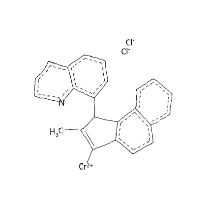 CC1=[C]([Cr+2])c2ccc3ccccc3c2C1c1cccc2cccnc12.[Cl-].[Cl-]